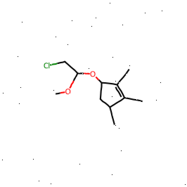 COC(CCl)OC1CC(C)C(C)=C1C